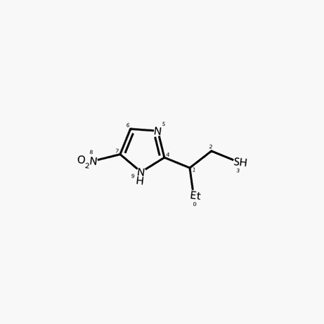 CCC(CS)c1ncc([N+](=O)[O-])[nH]1